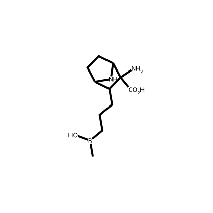 CB(O)CCCC1C2CCC(N2)C1(N)C(=O)O